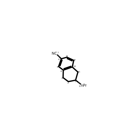 CCCC1CCc2cc(C#N)ccc2C1